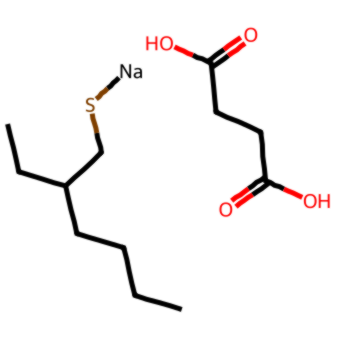 CCCCC(CC)C[S][Na].O=C(O)CCC(=O)O